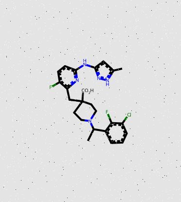 Cc1cc(Nc2ccc(F)c(CC3(C(=O)O)CCN(C(C)c4cccc(Cl)c4F)CC3)n2)n[nH]1